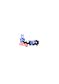 O=C(C=C(O)c1nc[nH]n1)c1cnn(Cc2ccccn2)c1